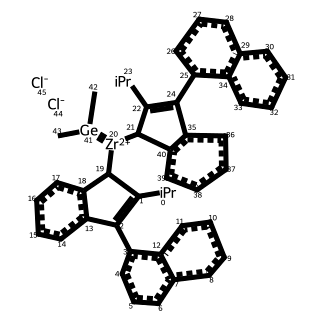 CC(C)C1=C(c2cccc3ccccc23)c2ccccc2[CH]1[Zr+2]([CH]1C(C(C)C)=C(c2cccc3ccccc23)c2ccccc21)=[Ge]([CH3])[CH3].[Cl-].[Cl-]